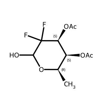 CC(=O)O[C@H]1[C@@H](C)OC(O)C(F)(F)[C@H]1OC(C)=O